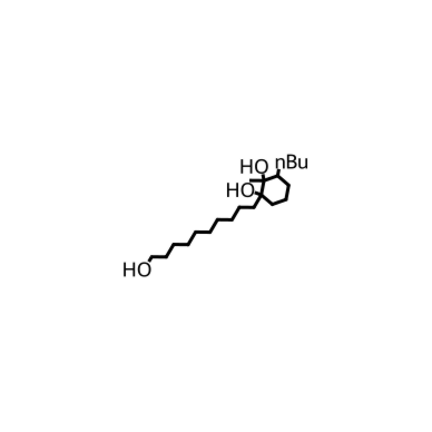 CCCCC1CCCC(O)(CCCCCCCCCCO)C1(C)O